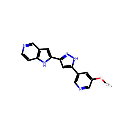 COc1cncc(-c2cc(-c3cc4cnccc4[nH]3)n[nH]2)c1